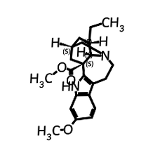 CC[C@H]1C[C@@H]2CN3CCc4c([nH]c5cc(OC)ccc45)[C@](C(=O)OC)(C2)[C@H]13